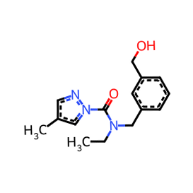 CCN(Cc1cccc(CO)c1)C(=O)n1cc(C)cn1